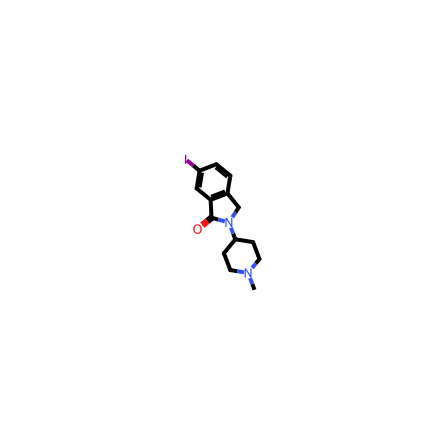 CN1CCC(N2Cc3ccc(I)cc3C2=O)CC1